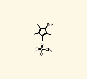 CC1=C(C)[CH]([Ru+])C(C)=C1C.O=S(=O)([O-])C(F)(F)F